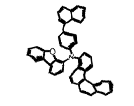 c1ccc2c(-c3ccc(N(c4cccc5c4ccc4ccc6ccccc6c45)c4cccc5c4oc4ccccc45)cc3)cccc2c1